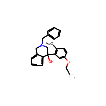 COc1ccc(OCC(F)(F)F)cc1C1(O)CN(Cc2ccccc2)Cc2ccccc21